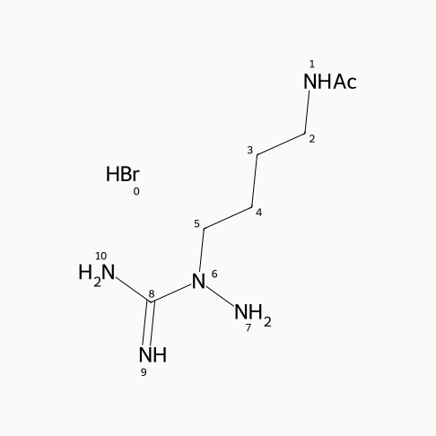 Br.CC(=O)NCCCCN(N)C(=N)N